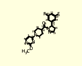 COc1nccc(N2CCC(C(=O)N3N=CCC3c3cc(F)cc(F)c3)CC2)n1